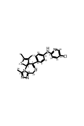 Cc1sc2c(c1C)C(c1ccc(Nc3ccc(Cl)cn3)cc1)=NCc1nnc(C)n1-2